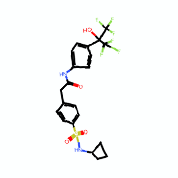 O=C(Cc1ccc(S(=O)(=O)NC2CCC2)cc1)Nc1ccc(C(O)(C(F)(F)F)C(F)(F)F)cc1